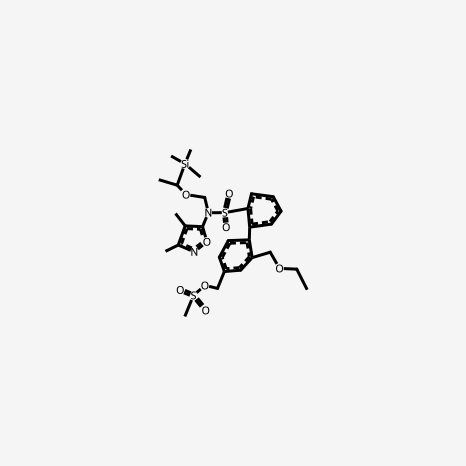 CCOCc1cc(COS(C)(=O)=O)ccc1-c1ccccc1S(=O)(=O)N(COC(C)[Si](C)(C)C)c1onc(C)c1C